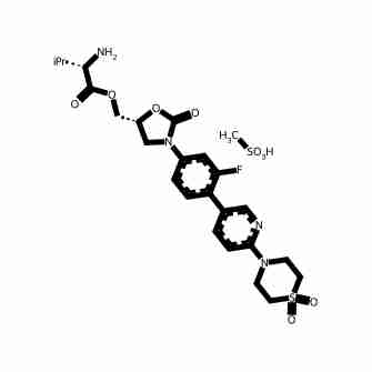 CC(C)[C@H](N)C(=O)OC[C@H]1CN(c2ccc(-c3ccc(N4CCS(=O)(=O)CC4)nc3)c(F)c2)C(=O)O1.CS(=O)(=O)O